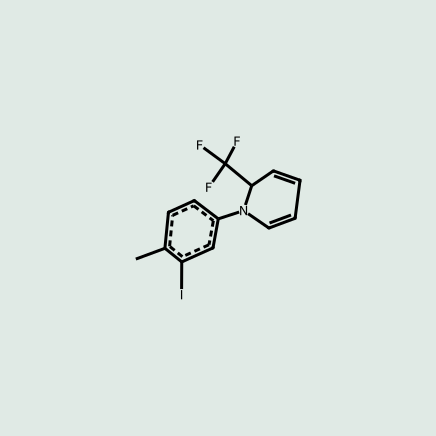 Cc1ccc(N2C=CC=CC2C(F)(F)F)cc1I